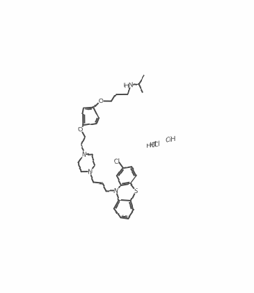 CC(C)NCCCOc1ccc(OCCN2CCN(CCCN3c4ccccc4Sc4ccc(Cl)cc43)CC2)cc1.Cl.Cl.Cl